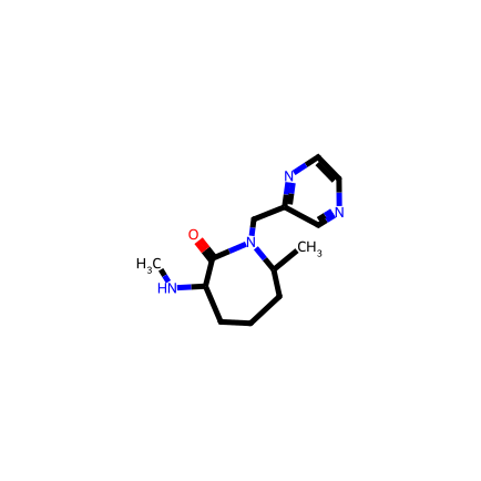 CNC1CCCC(C)N(Cc2cnccn2)C1=O